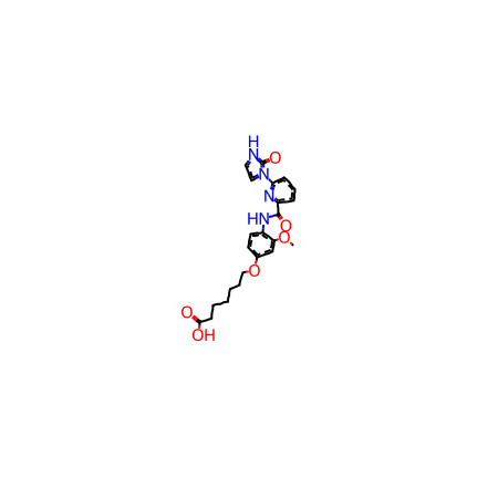 COc1cc(OCCCCCCC(=O)O)ccc1NC(=O)c1cccc(-n2cc[nH]c2=O)n1